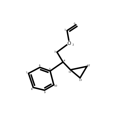 C=COCC(c1ccccc1)C1CC1